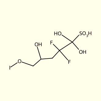 O=S(=O)(O)C(O)(O)C(F)(F)CC(O)COI